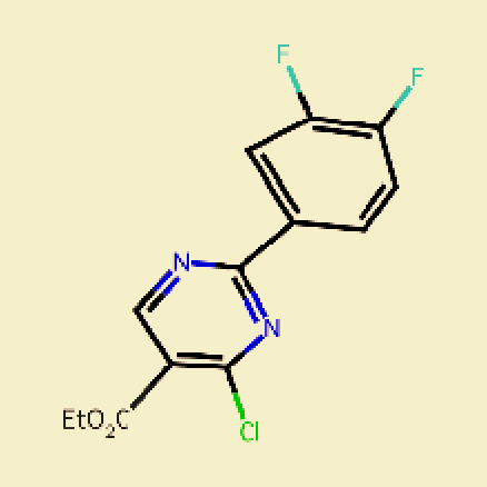 CCOC(=O)c1cnc(-c2ccc(F)c(F)c2)nc1Cl